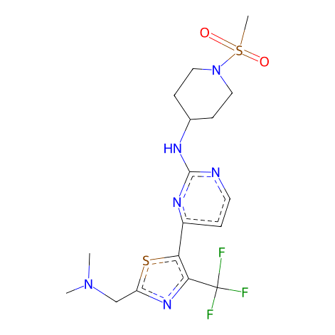 CN(C)Cc1nc(C(F)(F)F)c(-c2ccnc(NC3CCN(S(C)(=O)=O)CC3)n2)s1